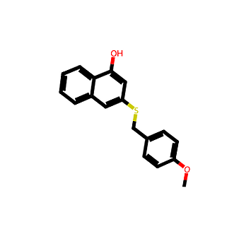 COc1ccc(CSc2cc(O)c3ccccc3c2)cc1